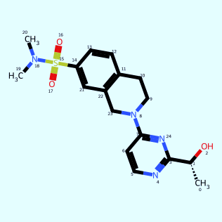 C[C@@H](O)c1nccc(N2CCc3ccc(S(=O)(=O)N(C)C)cc3C2)n1